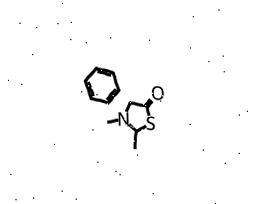 CC1SC(=O)CN1C.c1ccccc1